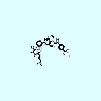 CCCNc1nc(Nc2ccc(C(N)=O)cc2)ncc1CCc1cccc(NC(=O)[C@H](C)N(C)C(=O)/C=C/CN(C)C)c1